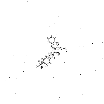 Nc1nc2ccccc2nc1C(=O)NCc1ccc(C(F)(F)F)cc1